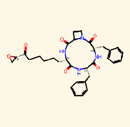 O=C1N[C@@H](CCCCCC(=O)[C@@H]2CO2)C(=O)N[C@@H](Cc2ccccc2)C(=O)N[C@@H](Cc2ccccc2)C(=O)N2CCC12